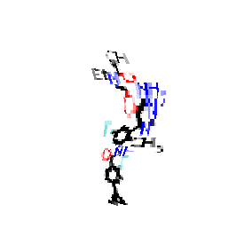 C#CC(=O)N(CC)CCOc1c(N)ncnc1-c1cc(F)cc(NC(=O)c2ccc(C3CC3)cc2F)c1C